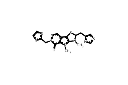 CN1c2c(c3cnn(Cc4nccs4)c(=O)c3n2C)SC1Cc1cscn1